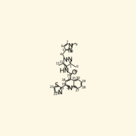 Cc1nn(Cc2ccn(C)n2)c(C)c1NC(=O)c1cc(-c2nccs2)nc2ccccc12